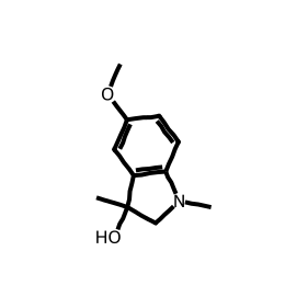 COc1ccc2c(c1)C(C)(O)CN2C